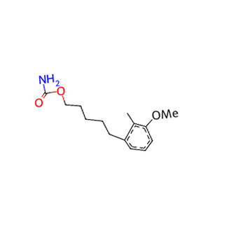 COc1cccc(CCCCCOC(N)=O)c1C